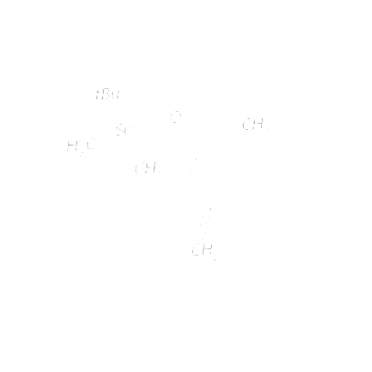 C=CCC(C)O[Si](C)(C)C(C)(C)C